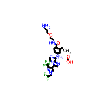 CCc1cc(Nc2nccn3c(-c4cn(CC(F)F)nc4C(F)(F)F)cnc23)ccc1C(=O)NCCOCCCN.O=CO